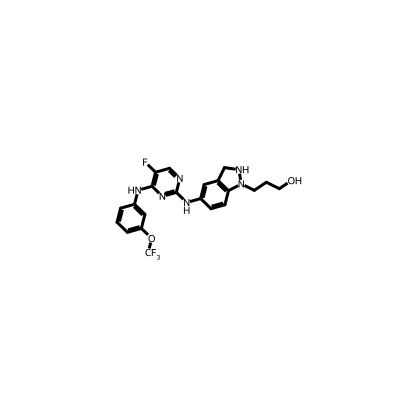 OCCCN1NCc2cc(Nc3ncc(F)c(Nc4cccc(OC(F)(F)F)c4)n3)ccc21